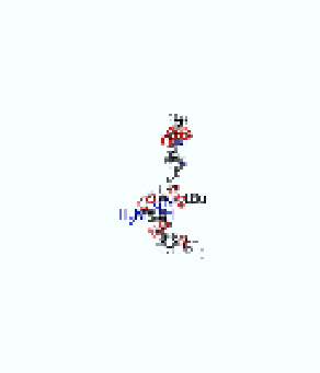 CC(C)(C)OC(=O)N[C@@H](CCCCC/C=C\[C@@H]1C[C@@H]1C(=O)NS(=O)(=O)C1CC1)C(=O)N1C[C@H](OC(=O)c2cccc(OC(F)(F)F)c2)C[C@H]1C(N)=O